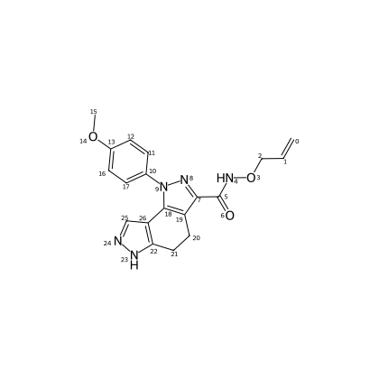 C=CCONC(=O)c1nn(-c2ccc(OC)cc2)c2c1CCc1[nH]ncc1-2